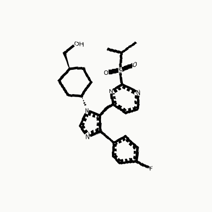 CC(C)S(=O)(=O)c1nccc(-c2c(-c3ccc(F)cc3)ncn2[C@H]2CC[C@H](CO)CC2)n1